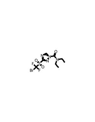 CCN(CC)C(=O)n1cnc(S(=O)(=O)C(F)(F)Br)n1